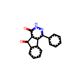 O=C1c2ccccc2-c2c(-c3ccccc3)n[nH]c(=O)c21